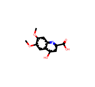 COc1cc2nc(C(=O)O)cc(O)c2cc1OC